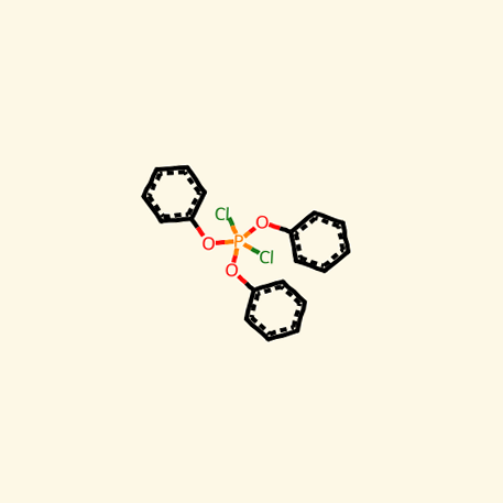 ClP(Cl)(Oc1ccccc1)(Oc1ccccc1)Oc1ccccc1